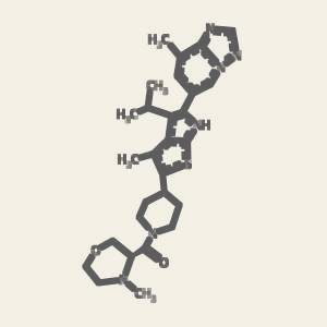 Cc1c(C2CCN(C(=O)[C@@H]3COCCN3C)CC2)sc2[nH]c(-c3cc(C)c4ncnn4c3)c(C(C)C)c12